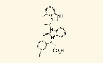 Cc1cccc2[nH]cc(C(C)n3c(=O)n(C(CC(=O)O)c4cccc(F)c4)c4ccccc43)c12